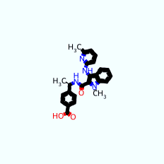 Cc1cccc(Nc2c(C(=O)N[C@@H](C)c3ccc(C(=O)O)cc3)n(C)c3ccccc23)n1